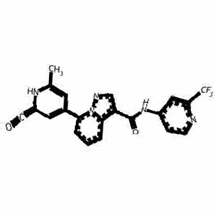 CC1=CC(c2cccc3c(C(=O)Nc4ccnc(C(F)(F)F)c4)cnn23)=CC(=C=O)N1